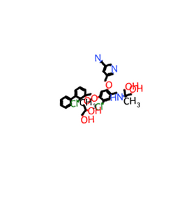 CC(CO)(CO)NCc1cc(Cl)c(OCC2(OCC(O)CO)C=CC=C(c3ccccc3)C2(C)Cl)cc1OCc1cncc(C#N)c1